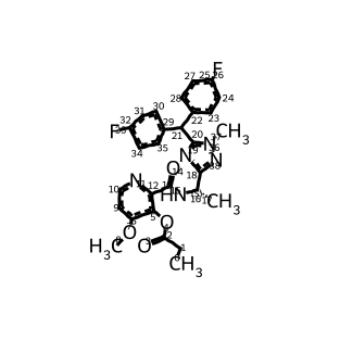 CCC(=O)Oc1c(OC)ccnc1C(=O)N[C@@H](C)c1nc(C(c2ccc(F)cc2)c2ccc(F)cc2)n(C)n1